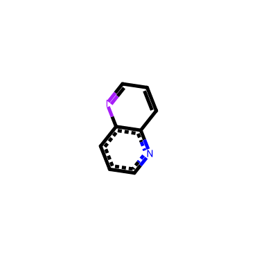 C1=Cc2ncccc2I=C1